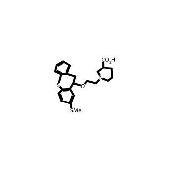 CSc1ccc2c(c1)C(OCCN1CCCC(C(=O)O)C1)Cc1ccccc1S2